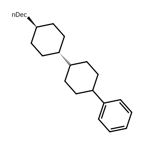 CCCCCCCCCC[C@H]1CC[C@H](C2CCC(c3ccccc3)CC2)CC1